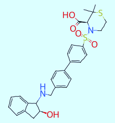 CC1(C)SCCN(S(=O)(=O)c2ccc(-c3ccc(CNC4c5ccccc5C[C@@H]4O)cc3)cc2)[C@H]1C(=O)O